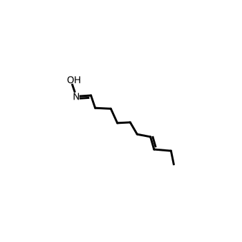 CC/C=C/CCCCC/C=N/O